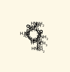 CC(=O)N[C@@H](CCCNC(=N)N)C(O)N[C@H]1CC(=O)NCCCC[C@@H](C(N)=O)NC(=O)[C@H](Cc2c[nH]c3ccccc23)NC(=O)[C@H](CCCNC(=N)N)NC(=O)[C@@H](Cc2ccccc2)NC(=O)[C@@H]2C[C@@H](N)CN2C1=O